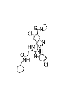 O=C(CCC(Nc1ncnc2cc(C(=O)N3CCCC3)c(Cl)cc12)c1nc2cc(Cl)ccc2[nH]1)NCC1CCCCC1